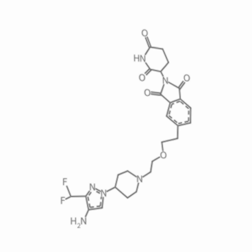 Nc1cn(C2CCN(CCOCCc3ccc4c(c3)C(=O)N(C3CCC(=O)NC3=O)C4=O)CC2)nc1C(F)F